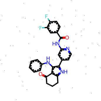 O=C(Nc1cc(-c2[nH]c3c(c2Nc2ccccc2)C(=O)CCC3)ccn1)c1ccc(F)c(F)c1